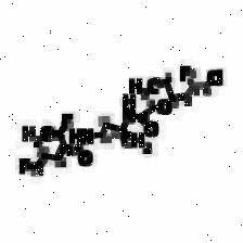 C=C/C(=C\C(F)=C\Cl)OCC(=O)NC(=C)CCNC(=O)/C(=C/C=C/F)C(=C)F